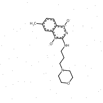 Cc1ccc2c(c1)[n+]([O-])c(NCCCN1CCOCC1)n[n+]2[O-]